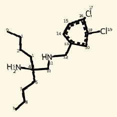 CCCCC(N)(CCCC)CNCc1ccc(Cl)c(Cl)c1